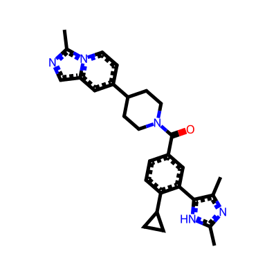 Cc1nc(C)c(-c2cc(C(=O)N3CCC(c4ccn5c(C)ncc5c4)CC3)ccc2C2CC2)[nH]1